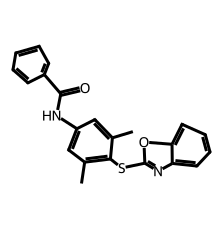 Cc1cc(NC(=O)c2ccccc2)cc(C)c1Sc1nc2ccccc2o1